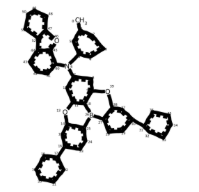 Cc1cccc(N(c2cc3c4c(c2)Oc2cc(-c5ccccc5)ccc2B4c2ccc(-c4ccccc4)cc2O3)c2cccc3c2oc2ccccc23)c1